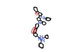 c1ccc(-c2nc(-c3ccccc3)nc(-c3ccc4oc5ccc(-n6c7ccccc7c7c6ccc6c8c9oc%10ccccc%10c9ccc8n(-c8ccccc8)c67)cc5c4c3)n2)cc1